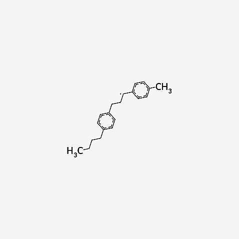 CCCCc1ccc(CC[CH]c2ccc(C)cc2)cc1